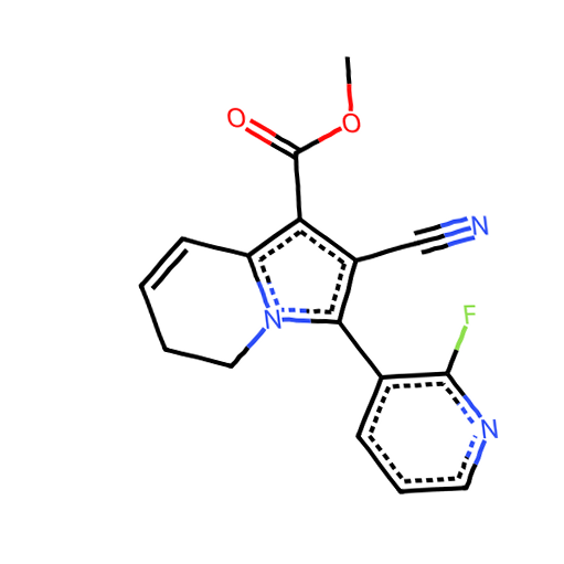 COC(=O)c1c(C#N)c(-c2cccnc2F)n2c1C=CCC2